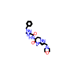 CN1C(=O)[C@@H](NC(=O)c2ncn(Cc3ccccc3)n2)CCn2nc(CN3CCOCC3)cc21